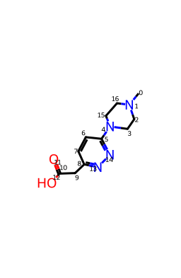 CN1CCN(c2ccc(CC(=O)O)nn2)CC1